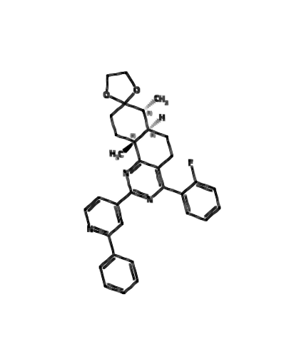 C[C@@H]1[C@H]2CCc3c(-c4ccccc4F)nc(-c4ccnc(-c5ccccc5)c4)nc3[C@]2(C)CCC12OCCO2